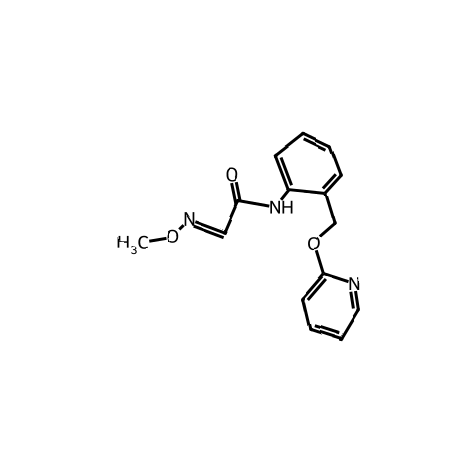 CON=CC(=O)Nc1ccccc1COc1ccccn1